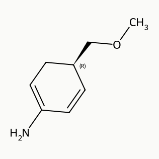 COC[C@H]1C=CC(N)=CC1